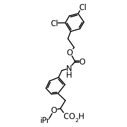 CC(C)OC(Cc1cccc(CNC(=O)OCCc2ccc(Cl)cc2Cl)c1)C(=O)O